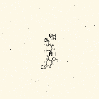 COc1ccc(Cl)cc1CNc1ccc(C(=O)NO)cc1